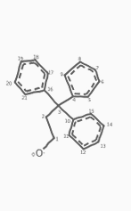 [O]CCC(c1ccccc1)(c1ccccc1)c1ccccc1